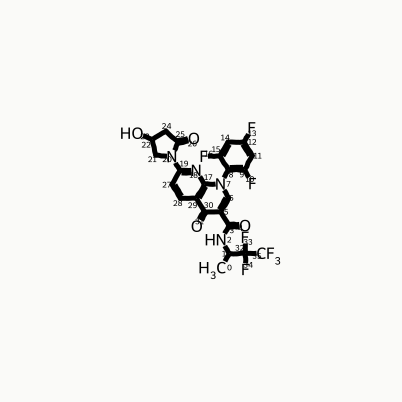 CC(NC(=O)c1cn(-c2c(F)cc(F)cc2F)c2nc(N3CC(O)CC3=O)ccc2c1=O)C(F)(F)C(F)(F)F